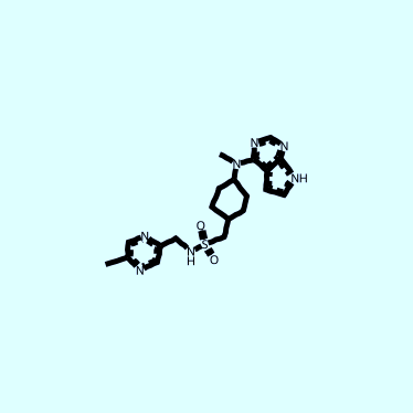 Cc1cnc(CNS(=O)(=O)CC2CCC(N(C)c3ncnc4[nH]ccc34)CC2)cn1